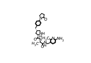 Cc1nc(N)ccc1CNC(=O)[C@H](C)NC(=O)[C@H]1C[C@H](Cc2ccc(N3CCCC3=O)cc2)CN1